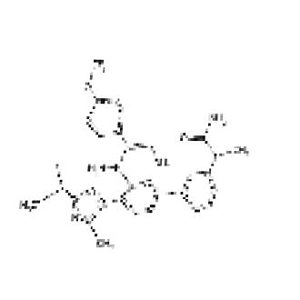 Cc1nc(C(C)F)cn1-c1ccc(-c2cccc(C(C)C(N)=O)c2)cc1N(N)/C(=C\N)c1ccc(OC(F)(F)F)cc1